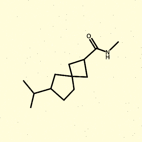 CNC(=O)C1CC2(CCC(C(C)C)C2)C1